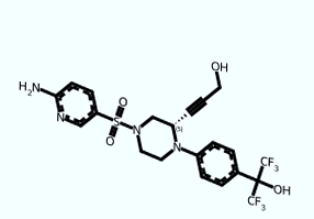 Nc1ccc(S(=O)(=O)N2CCN(c3ccc(C(O)(C(F)(F)F)C(F)(F)F)cc3)[C@@H](C#CCO)C2)cn1